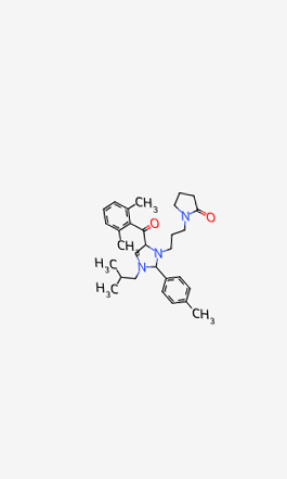 Cc1ccc(C2N(CC(C)C)CC(C(=O)c3c(C)cccc3C)N2CCCN2CCCC2=O)cc1